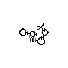 CC(C)C(=O)N1CCCC(N2CCCCC(Nc3nccc(N4CCCCCC4)n3)C2)C1